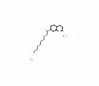 C[SiH](C)OCCCCCCCCC(c1ccc2ccc(OS(=O)(=O)C(F)(F)F)nc2c1)C(C)(C)C